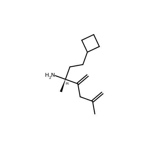 C=C(C)CC(=C)[C@](C)(N)CCC1CCC1